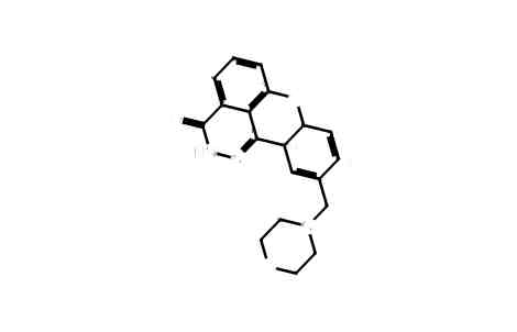 O=c1[nH]nc2c3c(cccc13)OC1C=CC(CN3CCOCC3)=CC21